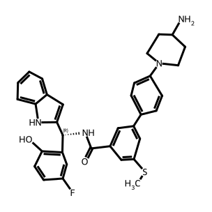 CSc1cc(C(=O)N[C@@H](c2cc3ccccc3[nH]2)c2cc(F)ccc2O)cc(-c2ccc(N3CCC(N)CC3)cc2)c1